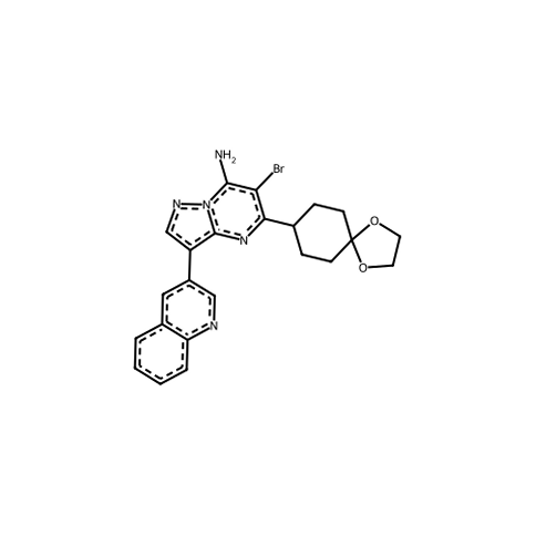 Nc1c(Br)c(C2CCC3(CC2)OCCO3)nc2c(-c3cnc4ccccc4c3)cnn12